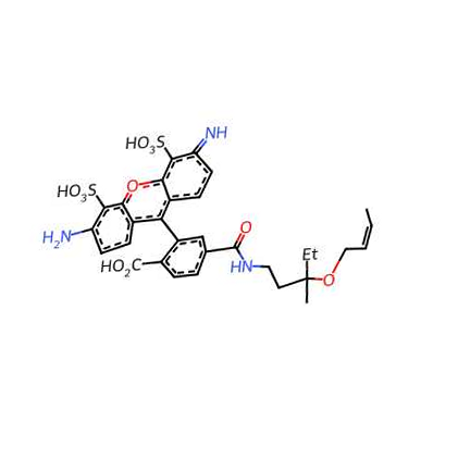 C/C=C\COC(C)(CC)CCNC(=O)c1ccc(C(=O)O)c(-c2c3ccc(=N)c(S(=O)(=O)O)c-3oc3c(S(=O)(=O)O)c(N)ccc23)c1